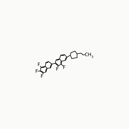 CCCC1CCC(c2ccc3cc(-c4ccc5c(F)c(F)c(F)cc5c4)c(F)c(F)c3c2)CC1